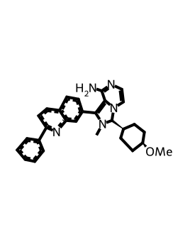 CO[C@H]1CC[C@@H](C2N(C)C(c3ccc4ccc(-c5ccccc5)nc4c3)=C3C(N)=NC=CN32)CC1